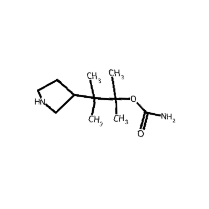 CC(C)(OC(N)=O)C(C)(C)C1CCNC1